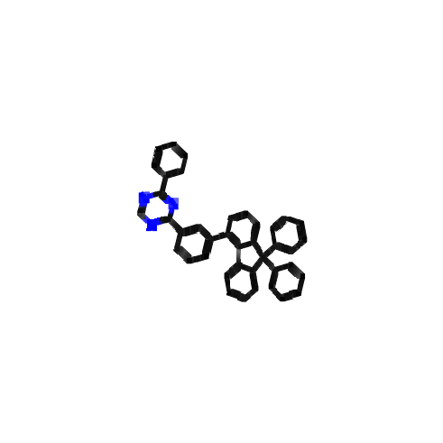 c1ccc(-c2ncnc(-c3cccc(-c4cccc5c4-c4ccccc4C5(c4ccccc4)c4ccccc4)c3)n2)cc1